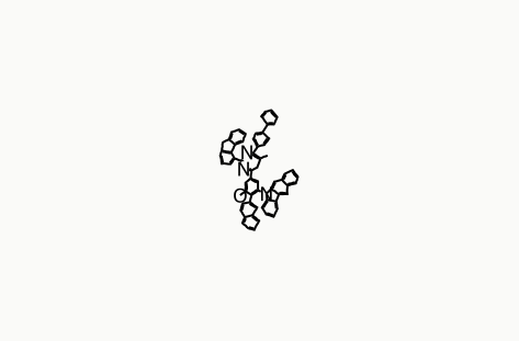 CC1=C(c2ccc(-c3ccccc3)cc2)N=C(c2cccc3c2-c2ccccc2C3)N=C(c2cc(-n3c4ccccc4c4cc5ccccc5cc43)c3c(c2)oc2cc4ccccc4cc23)C1